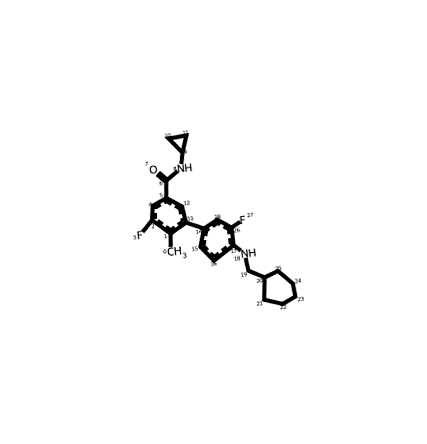 Cc1c(F)cc(C(=O)NC2CC2)cc1-c1ccc(NCC2CCCCC2)c(F)c1